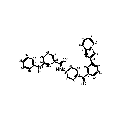 O=C(NC1CCN(C(=O)c2cccc(-c3cn4ccccc4n3)c2)CC1)C1=CCCC(Nc2ccccc2)=N1